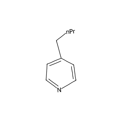 C[CH]CCc1ccncc1